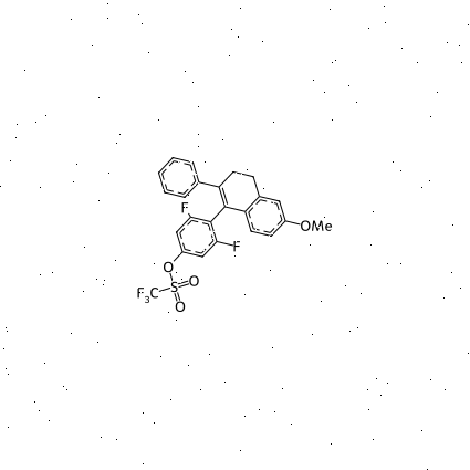 COc1ccc2c(c1)CCC(c1ccccc1)=C2c1c(F)cc(OS(=O)(=O)C(F)(F)F)cc1F